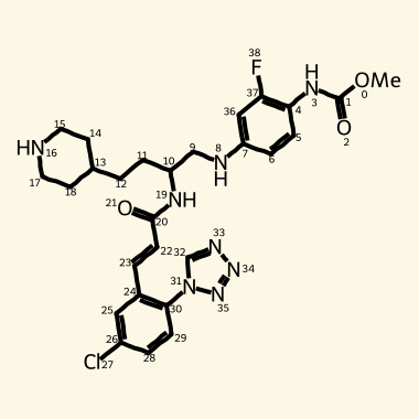 COC(=O)Nc1ccc(NCC(CCC2CCNCC2)NC(=O)C=Cc2cc(Cl)ccc2-n2cnnn2)cc1F